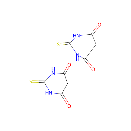 O=C1CC(=O)NC(=S)N1.O=C1CC(=O)NC(=S)N1